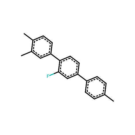 Cc1ccc(-c2ccc(-c3ccc(C)c(C)c3)c(F)c2)cc1